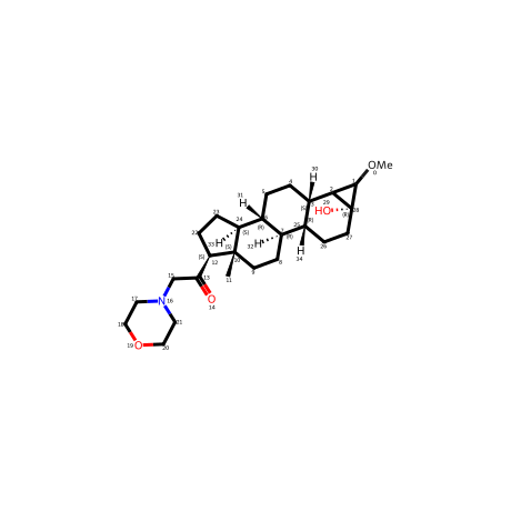 COC1C2[C@H]3CC[C@@H]4[C@H](CC[C@]5(C)[C@@H](C(=O)CN6CCOCC6)CC[C@@H]45)[C@H]3CC[C@]12O